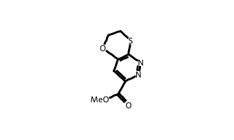 COC(=O)c1cc2c(nn1)SCCO2